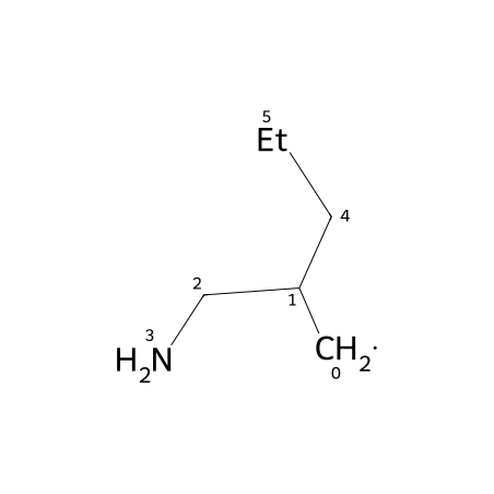 [CH2]C(CN)CCC